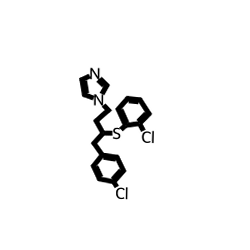 Clc1ccc(CC(CCn2ccnc2)Sc2ccccc2Cl)cc1